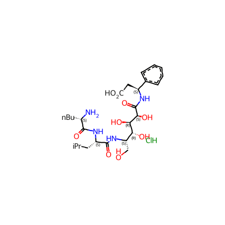 CCCC[C@H](N)C(=O)N[C@@H](CC(C)C)C(=O)N[C@@H](CO)[C@@H](O)[C@@H](O)[C@H](O)C(=O)N[C@@H](CC(=O)O)c1ccccc1.Cl